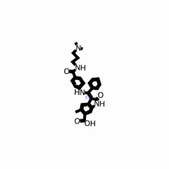 Cc1cc2c(cc1C(=O)O)NC(=O)/C2=C(/Nc1ccc(C(=O)NCCCN(C)C)cc1)c1ccccc1